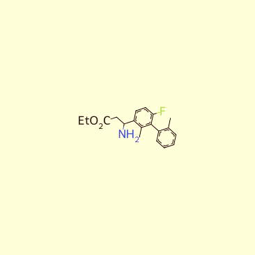 CCOC(=O)CC(N)c1ccc(F)c(-c2ccccc2C)c1C